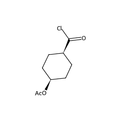 CC(=O)O[C@H]1CC[C@@H](C(=O)Cl)CC1